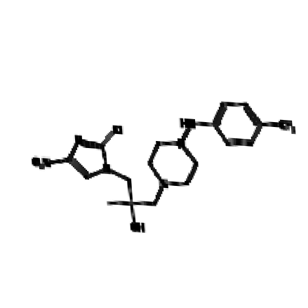 CC(O)(CN1CCN(Nc2ccc(C(F)(F)F)cc2)CC1)Cn1cc([N+](=O)[O-])nc1Cl